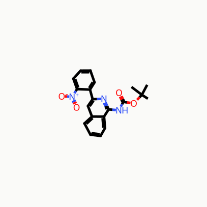 CC(C)(C)OC(=O)Nc1nc(-c2ccccc2[N+](=O)[O-])cc2ccccc12